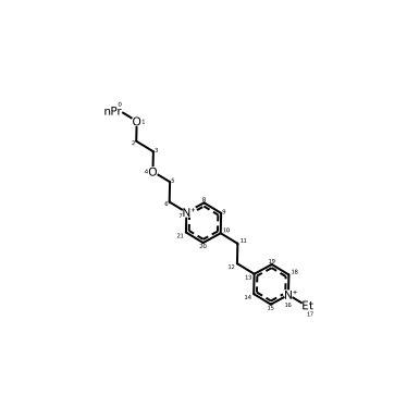 CCCOCCOCC[n+]1ccc(CCc2cc[n+](CC)cc2)cc1